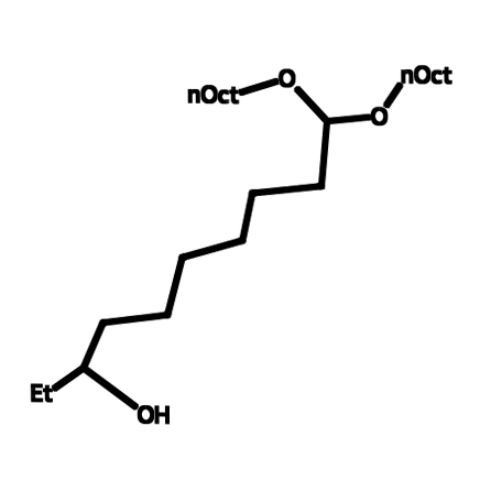 CCCCCCCCOC(CCCCCCC(O)CC)OCCCCCCCC